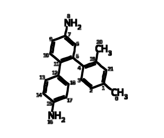 Cc1ccc(-c2cc(N)ccc2-c2ccc(N)cc2)c(C)c1